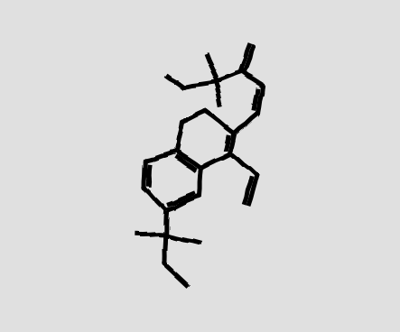 C=CC1=C(/C=C\C(=C)C(C)(C)CC)CCc2ccc(C(C)(C)CC)cc21